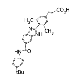 Cc1cc(/C=C/C(=O)O)cc(C)c1-c1nc2ccc(C(=O)Nc3ccc(C(C)(C)C)cc3)cc2[nH]1